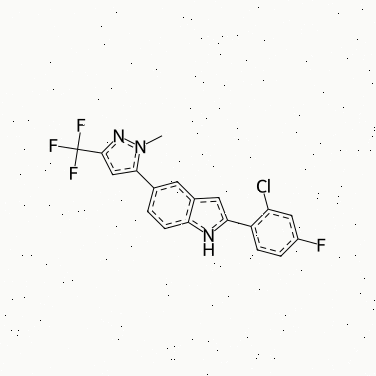 Cn1nc(C(F)(F)F)cc1-c1ccc2[nH]c(-c3ccc(F)cc3Cl)cc2c1